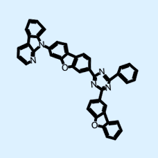 c1ccc(-c2nc(-c3ccc4c(c3)oc3cc(-n5c6ccccc6c6cccnc65)ccc34)nc(-c3ccc4oc5ccccc5c4c3)n2)cc1